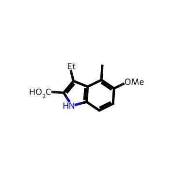 CCc1c(C(=O)O)[nH]c2ccc(OC)c(C)c12